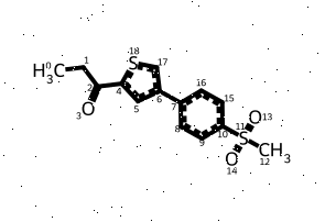 CCC(=O)c1cc(-c2ccc(S(C)(=O)=O)cc2)cs1